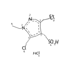 CCc1nn(C)c(Cl)c1S(=O)(=O)O.Cl